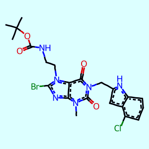 Cn1c(=O)n(Cc2cc3c(Cl)cccc3[nH]2)c(=O)c2c1nc(Br)n2CCNC(=O)OC(C)(C)C